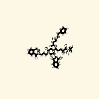 CC(C)(C)OC(=O)C(N)CCC(=O)N[C@@H](CCCCNOCc1ccccc1)C(=O)N(CCCN1OCc2ccccc2C1=O)CCCN1C(=O)c2ccccc2C1=O